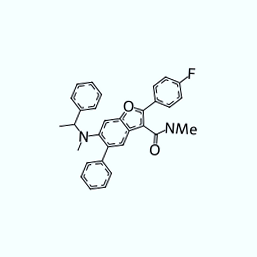 CNC(=O)c1c(-c2ccc(F)cc2)oc2cc(N(C)C(C)c3ccccc3)c(-c3ccccc3)cc12